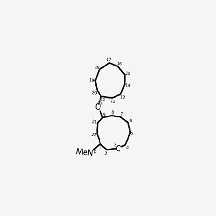 CNC1CCCCCCCC(OC2CCCCCCCCC2)CC1